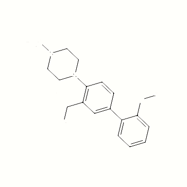 CCOc1ccccc1-c1ccc(N2CCN(C(=O)O)C[C@H]2CC)c(CO)c1